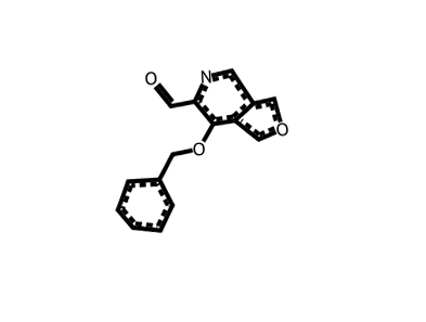 O=Cc1ncc2cocc2c1OCc1ccccc1